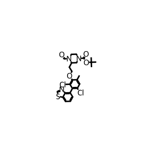 Cc1cc(Cl)c(-c2cccc3scnc23)c(Cl)c1OCCC1CN(C(=O)OC(C)(C)C)CCN1C=O